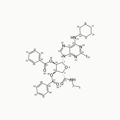 CCNC(=O)[C@H]1O[C@@H](n2cnc3c(NC4CCCCC4)nc(I)nc32)[C@H](OC(=O)c2ccccc2)[C@@H]1OC(=O)c1ccccc1